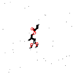 C=CC(=O)OCC(C)C[SiH](OC)OC